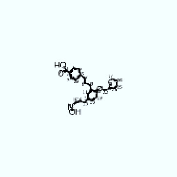 O=C(O)c1ccc(CCCc2cc(CC=C=NO)ccc2OCc2ccccc2)cc1